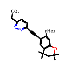 CCCCCCc1cc2c(cc1C#Cc1ccc(CC(=O)O)nn1)C(C)(C)CC(C)(C)O2